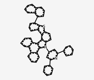 c1ccc(-c2cc(-n3c4ccc5sc6c(-c7cccc8ccccc78)cccc6c5c4c4c5ccccc5c5ccccc5c43)cc(-c3ccccc3)n2)cc1